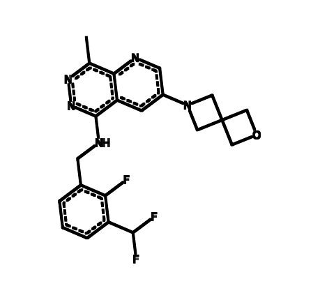 Cc1nnc(NCc2cccc(C(F)F)c2F)c2cc(N3CC4(COC4)C3)cnc12